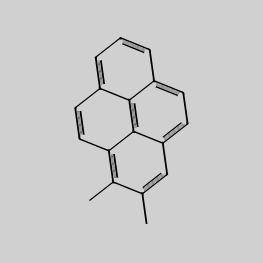 Cc1cc2ccc3cccc4ccc(c1C)c2c34